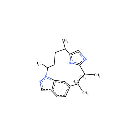 CC(C)c1ccc2cnn(C(C)CCC(C)c3cnc(C(C)C)[nH]3)c2c1